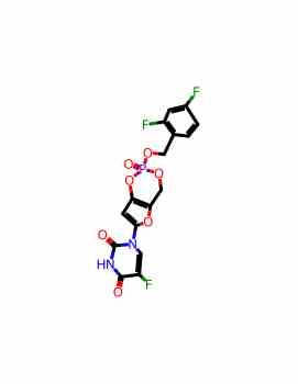 O=c1[nH]c(=O)n(-c2cc3c(o2)COP(=O)(OCc2ccc(F)cc2F)O3)cc1F